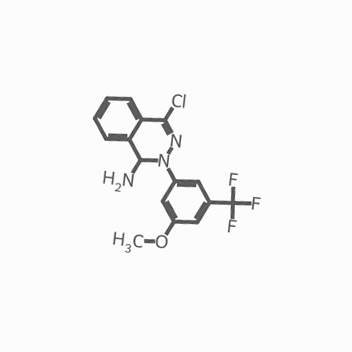 COc1cc(N2N=C(Cl)c3ccccc3C2N)cc(C(F)(F)F)c1